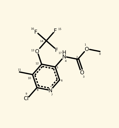 COC(=O)Nc1cnc(Cl)c(C)c1OC(F)(F)F